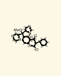 COC(c1ccc2nc(Cl)c(-c3ccccc3)c(Cl)c2c1)(c1cnccn1)c1cncn1C